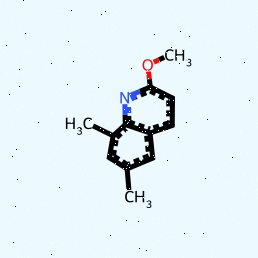 COc1ccc2cc(C)cc(C)c2n1